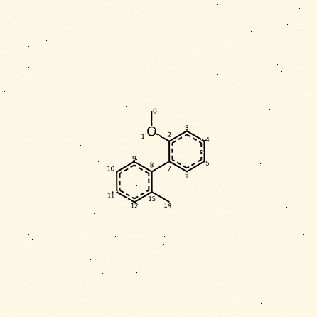 COc1ccccc1-c1cc[c]cc1C